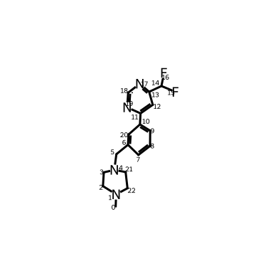 CN1CCN(Cc2cccc(-c3cc(C(F)F)n[c]n3)c2)CC1